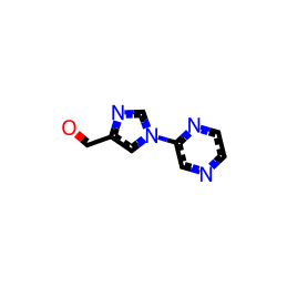 O=Cc1cn(-c2cnccn2)cn1